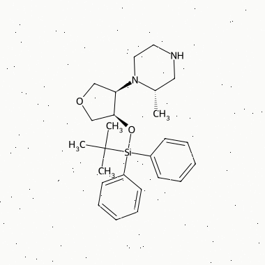 C[C@H]1CNCCN1[C@@H]1COC[C@@H]1O[Si](c1ccccc1)(c1ccccc1)C(C)(C)C